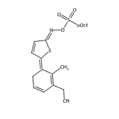 CCCCCCCCS(=O)(=O)ON=C1C=CC(=C2CC=CC(CC#N)=C2C)S1